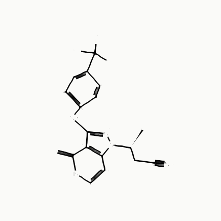 C[C@@H](CC#N)n1nc(Nc2ccc(C(F)(F)F)cc2)c2c(=O)[nH]ccc21